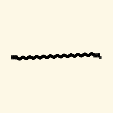 NCCCCCCCCCCCCCCCCCCCCCCO